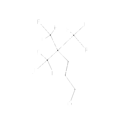 [O]CCCC(C(F)(F)F)(C(F)(F)F)C(F)(F)F